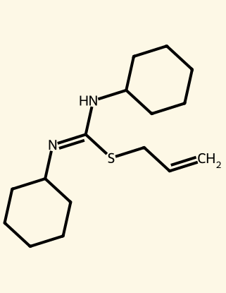 C=CCSC(=NC1CCCCC1)NC1CCCCC1